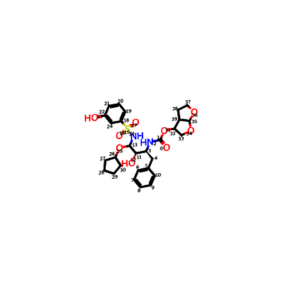 O=C(N[C@@H](Cc1ccccc1)[C@@H](O)C(NS(=O)(=O)c1cccc(O)c1)OC1CCCC1)OC1COC2OCCC12